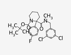 CN(Cc1cc(Cl)cc(Cl)c1)C(=O)C1(c2ccc(F)cc2)CCCCN1C(=O)OC(C)(C)C